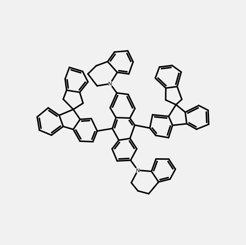 c1ccc2c(c1)CC1(C2)c2ccccc2-c2ccc(-c3c4ccc(N5CCCc6ccccc65)cc4c(-c4ccc5c(c4)C4(Cc6ccccc6C4)c4ccccc4-5)c4ccc(N5CCCc6ccccc65)cc34)cc21